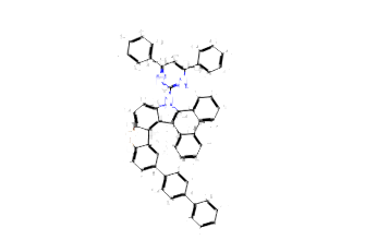 c1ccc(-c2ccc(-c3ccc4sc5ccc6c(c5c4c3)c3c4ccccc4c4ccccc4c3n6-c3nc(-c4ccccc4)cc(-c4ccccc4)n3)cc2)cc1